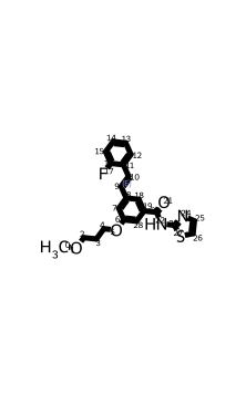 COCCCOc1cc(/C=C/c2ccccc2F)cc(C(=O)Nc2nccs2)c1